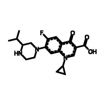 CC(C)C1CN(c2cc3c(cc2F)c(=O)c(C(=O)O)cn3C2CC2)CCN1